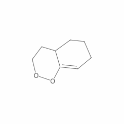 C1=C2OOCCC2CCC1